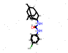 CC12CC3CC(C)(C1)CC(NC(=O)Nc1ccc(F)cc1)(C3)C2